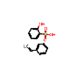 C=Cc1ccccc1.O=S(=O)(O)c1ccccc1O